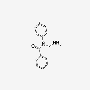 NCN(C(=O)c1ccccc1)c1cc[c]cc1